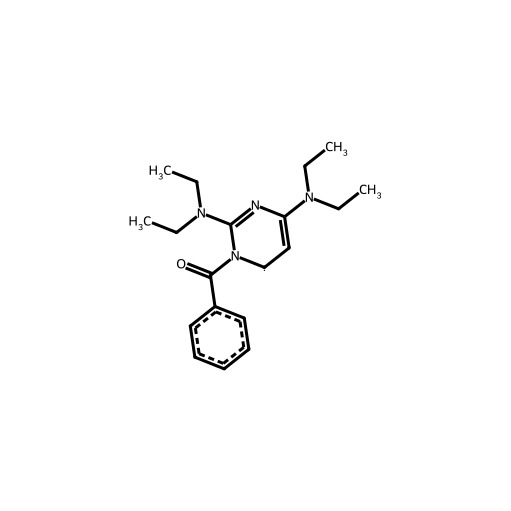 CCN(CC)C1=C[CH]N(C(=O)c2ccccc2)C(N(CC)CC)=N1